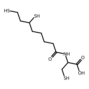 O=C(CCCCC(S)CCS)NC(CS)C(=O)O